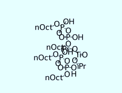 CC(C)[O][Ti](=[O])[O]C(C)C.CCCCCCCCOP(=O)(O)OP(=O)(O)OCCCCCCCC.CCCCCCCCOP(=O)(O)OP(=O)(O)OCCCCCCCC